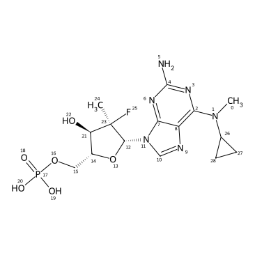 CN(c1nc(N)nc2c1ncn2[C@@H]1O[C@H](COP(=O)(O)O)[C@@H](O)[C@@]1(C)F)C1CC1